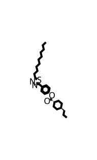 CCCCCCCCCCc1nnc(-c2ccc(OC(=O)[C@H]3CC[C@H](CCC)CC3)cc2)s1